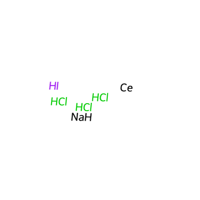 Cl.Cl.Cl.I.[Ce].[NaH]